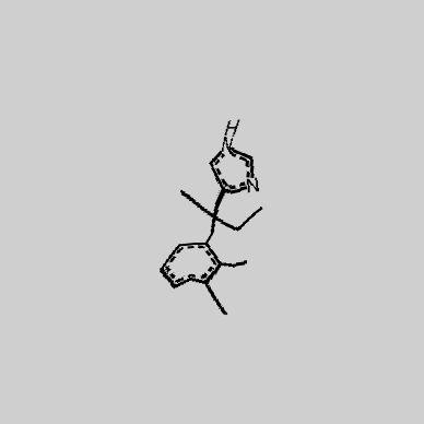 CCC(C)(c1c[nH]cn1)c1cccc(C)c1C